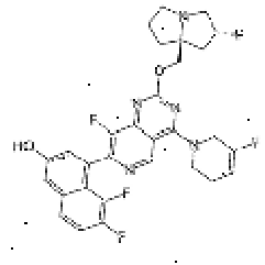 Oc1cc(-c2ncc3c(N4CCC=C(F)C4)nc(OC[C@@]45CCCN4C[C@H](F)C5)nc3c2F)c2c(F)c(F)ccc2c1